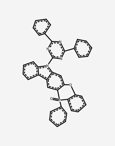 O=P1(c2ccccc2)c2ccccc2Oc2cc3c(cc21)c1ccccc1n3-c1nc(-c2ccccc2)nc(-c2ccccc2)n1